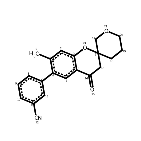 Cc1cc2c(cc1-c1cccc(C#N)c1)C(=O)CC1(CCCOC1)O2